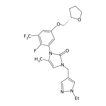 CCn1cc(Cn2cc(C)n(-c3cc(OC[C@@H]4CCCO4)cc(C(F)(F)F)c3F)c2=O)cn1